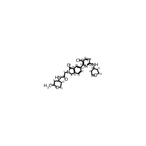 CC1CC(NC(=O)CN2Cc3ccc(-c4nc(NC5CCOCC5)ncc4Cl)cc3C2=O)CCO1